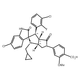 COc1cc(N2C[C@H]3[C@@H](C2=O)[C@H](c2cccc(Cl)c2F)[C@]2(C(=O)Nc4cc(Cl)ccc42)N3CC2CC2)ccc1C(=O)O